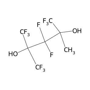 CC(O)(C(F)(F)F)C(F)(F)C(O)(C(F)(F)F)C(F)(F)F